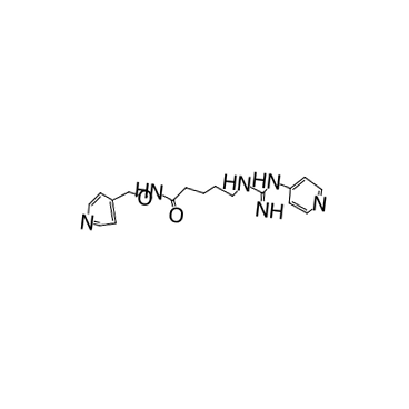 N=C(NCCCCC(=O)NOCc1ccncc1)Nc1ccncc1